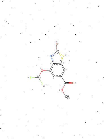 COC(=O)c1cc(OC(F)F)c2nc(Br)sc2c1